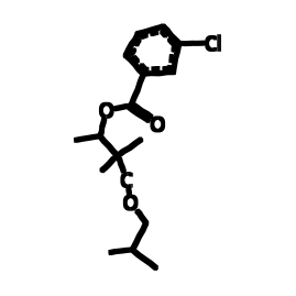 CC(C)COCC(C)(C)C(C)OC(=O)c1cccc(Cl)c1